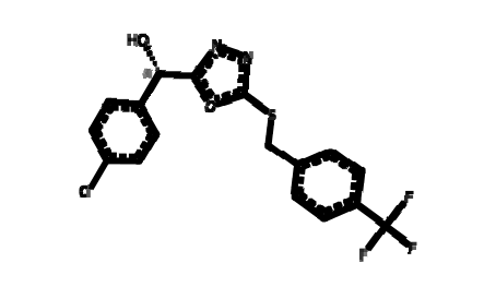 O[C@@H](c1ccc(Cl)cc1)c1nnc(SCc2ccc(C(F)(F)F)cc2)o1